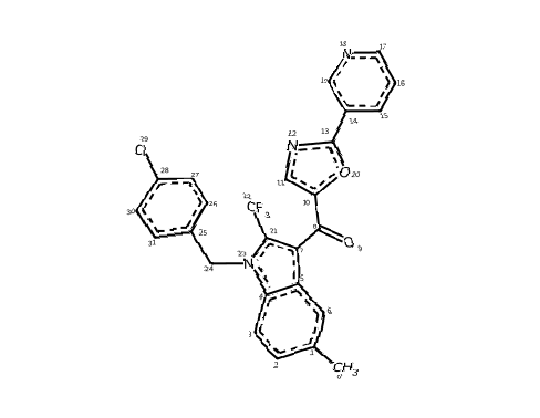 Cc1ccc2c(c1)c(C(=O)c1cnc(-c3cccnc3)o1)c(C(F)(F)F)n2Cc1ccc(Cl)cc1